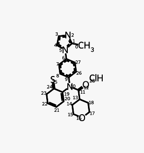 Cc1nccn1-c1ccc(N(C(=O)C2CCOCC2)C2=CC=CCC2=S)cc1.Cl